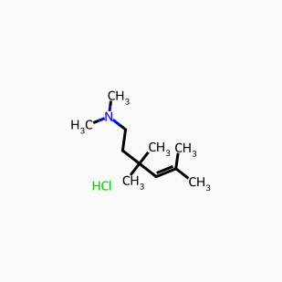 CC(C)=CC(C)(C)CCN(C)C.Cl